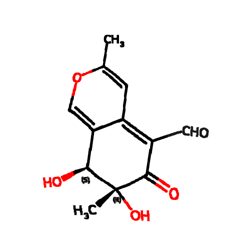 CC1=CC2=C(C=O)C(=O)[C@](C)(O)[C@@H](O)C2=CO1